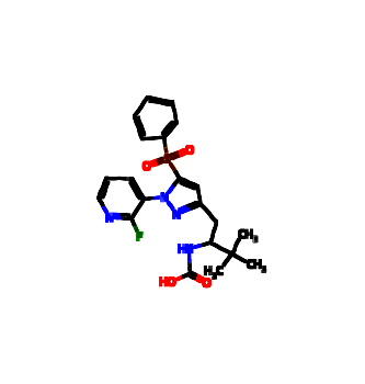 CC(C)(C)C(Cc1cc(S(=O)(=O)c2ccccc2)n(-c2cccnc2F)n1)NC(=O)O